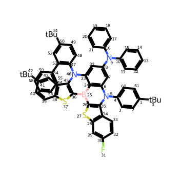 CC(C)(C)c1ccc(N2c3cc(N(c4ccccc4)c4ccccc4)cc4c3B(c3sc5cc(F)ccc5c32)c2sc3ccc(C(C)(C)C)cc3c2N4c2ccc(C(C)(C)C)cc2-c2ccccc2)cc1